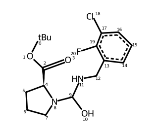 CC(C)(C)OC(=O)[C@@H]1CCCN1C(O)NCc1cccc(Cl)c1F